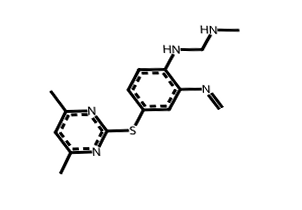 C=Nc1cc(Sc2nc(C)cc(C)n2)ccc1NCNC